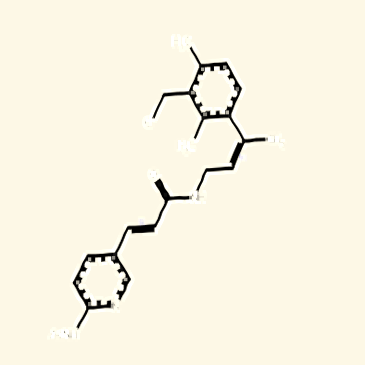 CC(=O)Nc1ccc(/C=C/C(=O)NC/C=C(/C)c2ccc(C)c(CCl)c2C)cn1